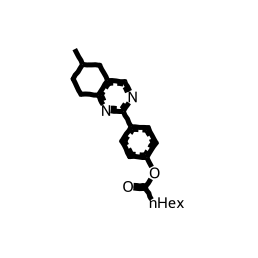 CCCCCCC(=O)Oc1ccc(-c2ncc3c(n2)CCC(C)C3)cc1